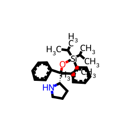 CC(C)[Si](OC(c1ccccc1)(c1ccccc1)[C@@H]1CCCN1)(C(C)C)C(C)C